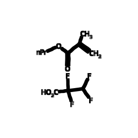 C=C(C)C(=O)OCCC.O=C(O)C(F)(F)C(F)F